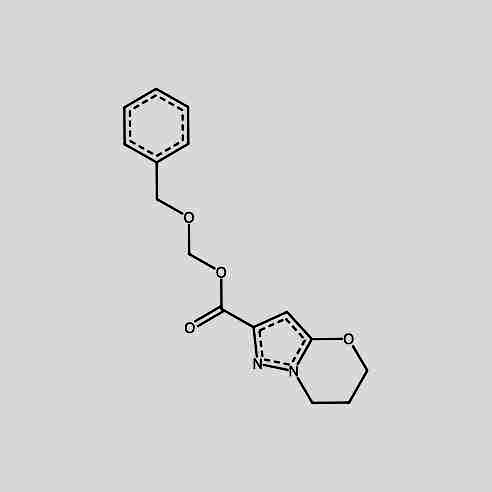 O=C(OCOCc1ccccc1)c1cc2n(n1)CCCO2